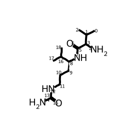 CC(C)C(N)C(=O)N[C@@H](CCCNC(N)=O)C(C)C